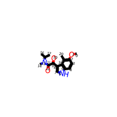 COc1ccc2[nH]cc(C(=O)C(=O)N(C)C(C)C)c2c1C